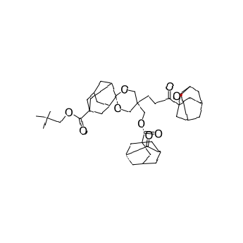 CC(C)(C)COC(=O)C12CC3CC(C1)C1(OCC(CCC(=O)C45CC6CC(C4)C(=O)C(C6)C5)(COC(=O)C45CC6CC(C4)C(=O)C(C6)C5)CO1)C(C3)C2